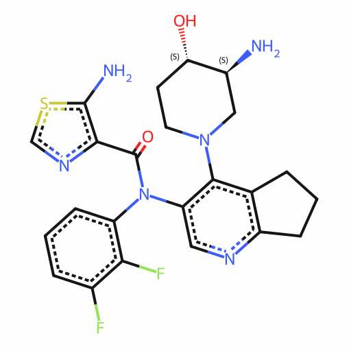 Nc1scnc1C(=O)N(c1cccc(F)c1F)c1cnc2c(c1N1CC[C@H](O)[C@@H](N)C1)CCC2